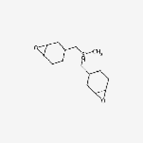 C[SiH](CC1CCC2OC2C1)CC1CCC2OC2C1